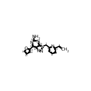 C=Cc1cccc(Cn2nnc3c(-c4ccco4)nc(N)nc32)n1